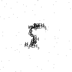 CC(C)(C)OC(=O)N1CCC[C@H]1C(=O)NCC(=O)c1ccc(Oc2ccc(C(=O)CNC(=O)[C@@H]3CCCN3C(=O)OC(C)(C)C)cc2)cc1